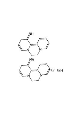 Br.Br.N=C1CC=CN2CCN3C=CC=CC3=C12.N=C1CC=CN2CCN3C=CC=CC3=C12